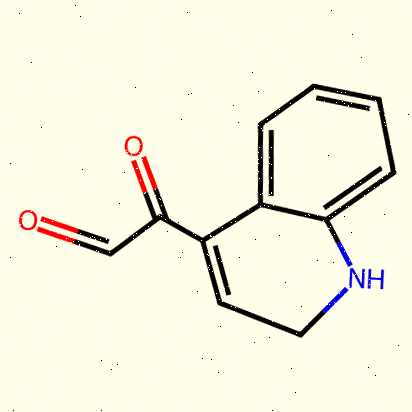 O=CC(=O)C1=CCNc2ccccc21